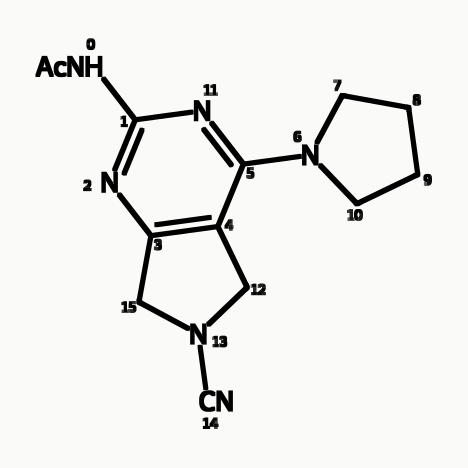 CC(=O)Nc1nc2c(c(N3CCCC3)n1)CN(C#N)C2